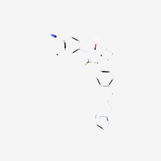 N#Cc1ccc(N2C(=O)C3(CCC3)C(c3ccc(CCCc4ncc[nH]4)cc3)C2=S)cc1C(F)(F)F